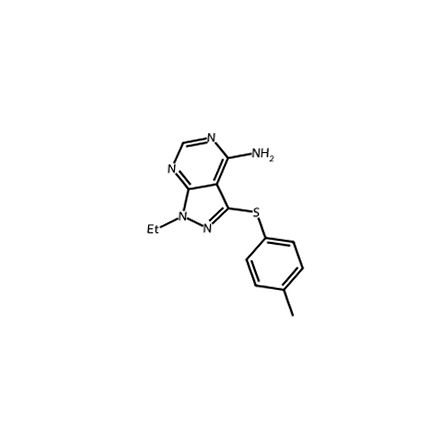 CCn1nc(Sc2ccc(C)cc2)c2c(N)ncnc21